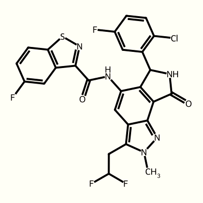 Cn1nc2c3c(c(NC(=O)c4nsc5ccc(F)cc45)cc2c1CC(F)F)C(c1cc(F)ccc1Cl)NC3=O